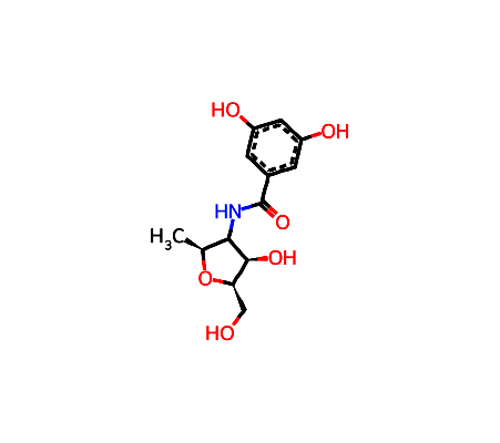 C[C@@H]1O[C@H](CO)[C@H](O)C1NC(=O)c1cc(O)cc(O)c1